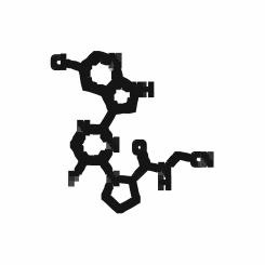 N#CCNC(=O)[C@H]1CCCN1c1nc(-c2c[nH]c3ncc(Cl)cc23)ncc1F